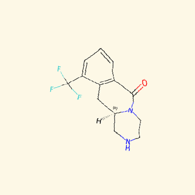 O=C1c2cccc(C(F)(F)F)c2C[C@@H]2CNCCN12